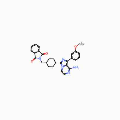 CCCCOc1cccc(-c2nc([C@H]3CC[C@@H](CN4C(=O)c5ccccc5C4=O)CC3)n3ccnc(N)c23)c1